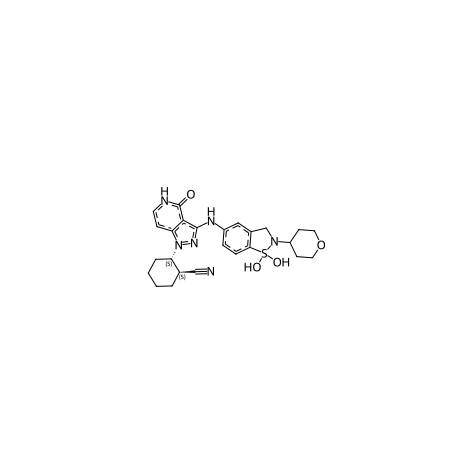 N#C[C@H]1CCCC[C@@H]1n1nc(Nc2ccc3c(c2)CN(C2CCOCC2)S3(O)O)c2c(=O)[nH]ccc21